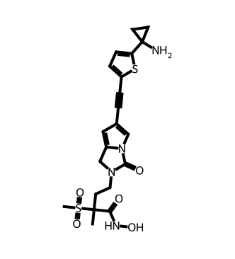 CC(CCN1Cc2cc(C#Cc3ccc(C4(N)CC4)s3)cn2C1=O)(C(=O)NO)S(C)(=O)=O